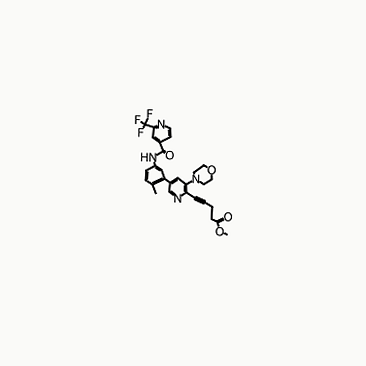 COC(=O)CCC#Cc1ncc(-c2cc(NC(=O)c3ccnc(C(F)(F)F)c3)ccc2C)cc1N1CCOCC1